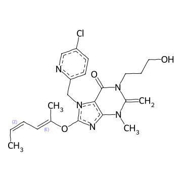 C=C1N(CCCO)C(=O)c2c(nc(O/C(C)=C/C=C\C)n2Cc2ccc(Cl)cn2)N1C